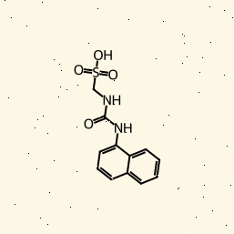 O=C(NCS(=O)(=O)O)Nc1cccc2ccccc12